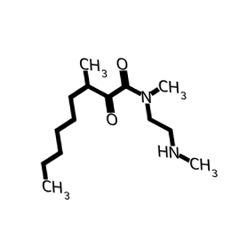 CCCCCCC(C)C(=O)C(=O)N(C)CCNC